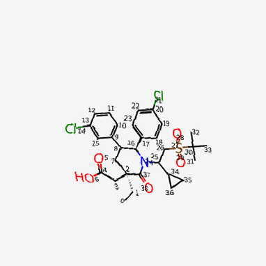 CC[C@]1(CC(=O)O)CC(c2cccc(Cl)c2)[C@@H](c2ccc(Cl)cc2)N(C(CS(=O)(=O)C(C)(C)C)C2CC2)C1=O